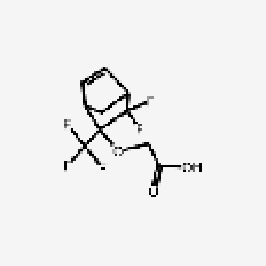 O=C(O)COC1(C(F)(F)F)C2C=CC(C2)C1(F)F